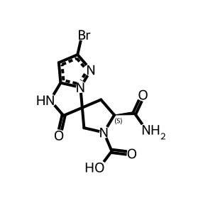 NC(=O)[C@@H]1CC2(CN1C(=O)O)C(=O)Nc1cc(Br)nn12